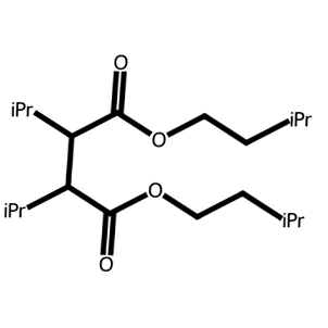 CC(C)CCOC(=O)C(C(C)C)C(C(=O)OCCC(C)C)C(C)C